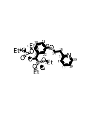 CCOP(=O)(OCC)OC(c1cccc(OCCc2ccccn2)c1)P(=O)(OCC)OCC